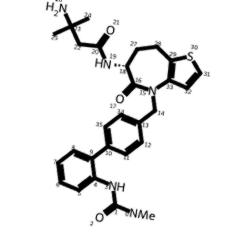 CNC(=O)Nc1ccccc1-c1ccc(CN2C(=O)[C@H](NC(=O)CC(C)(C)N)CCc3sccc32)cc1